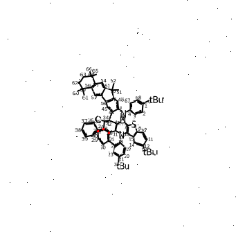 CC(C)(C)c1ccc(N2B3c4sc5ccc(C(C)(C)C)cc5c4N(c4ccc(C(C)(C)C)cc4-c4ccccc4)c4cc5c(oc6ccccc65)c(c43)-c3cc4c(cc32)C(C)(C)c2cc3c(cc2-4)C(C)(C)CCC3(C)C)cc1